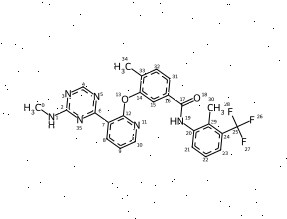 CNc1ncnc(-c2cccnc2Oc2cc(C(=O)Nc3cccc(C(F)(F)F)c3C)ccc2C)n1